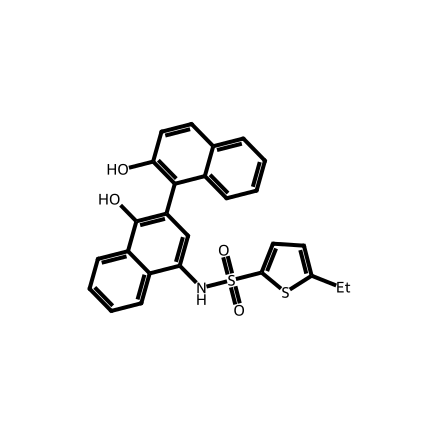 CCc1ccc(S(=O)(=O)Nc2cc(-c3c(O)ccc4ccccc34)c(O)c3ccccc23)s1